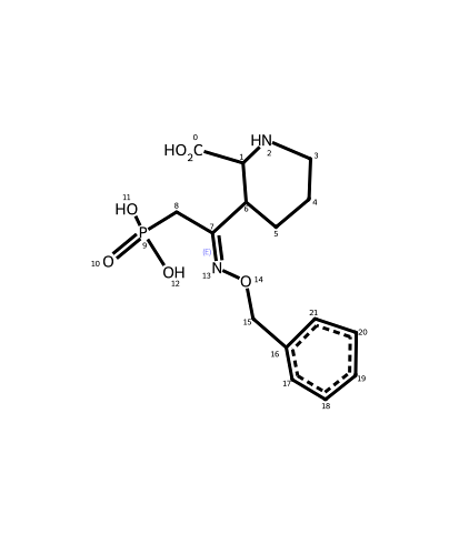 O=C(O)C1NCCCC1/C(CP(=O)(O)O)=N\OCc1ccccc1